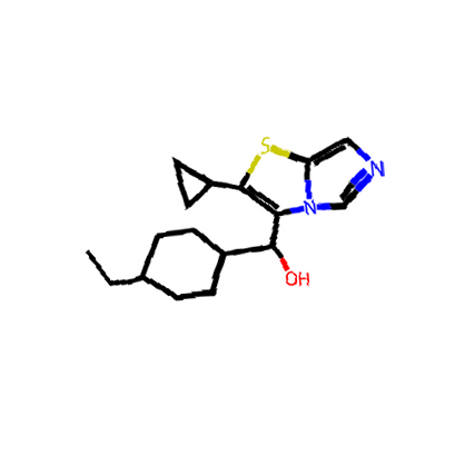 CCC1CCC(C(O)c2c(C3CC3)sc3cncn23)CC1